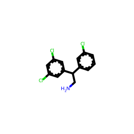 NCC(c1cccc(Cl)c1)c1cc(Cl)cc(Cl)c1